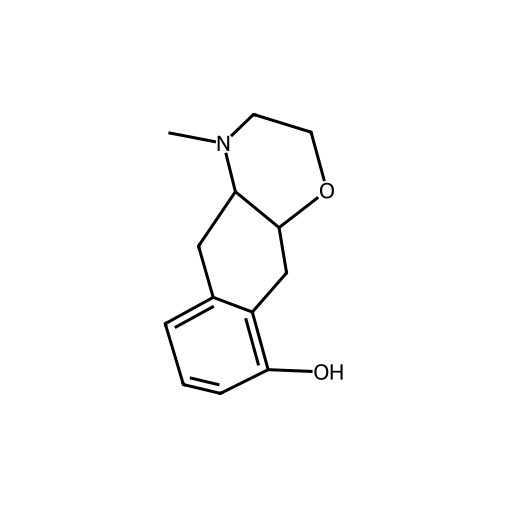 CN1CCOC2Cc3c(O)cccc3CC21